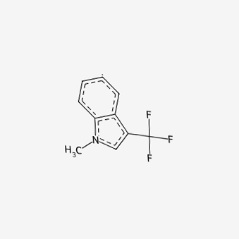 Cn1cc(C(F)(F)F)c2c[c]ccc21